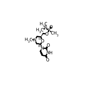 CN1C[C@@H](COP(C)(=O)N(C)C)O[C@@H](n2ccc(=O)[nH]c2=O)C1